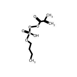 C=C(C)C(=O)OOP(=O)(O)OCCCC